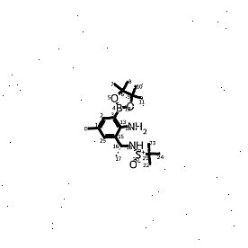 Cc1cc(B2OC(C)(C)C(C)(C)O2)c(N)c([C@@H](C)N[S@+]([O-])C(C)(C)C)c1